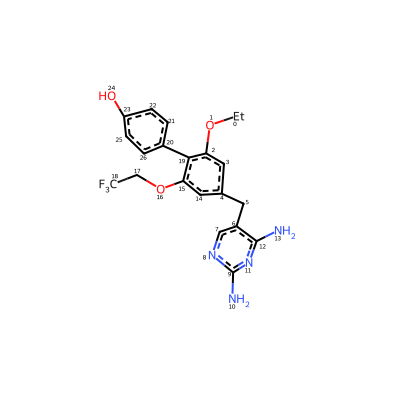 CCOc1cc(Cc2cnc(N)nc2N)cc(OCC(F)(F)F)c1-c1ccc(O)cc1